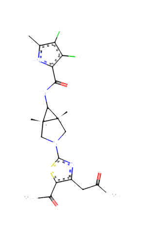 COC(=O)Cc1nc(N2C[C@@H]3C(NC(=O)c4[nH]c(C)c(Cl)c4Cl)[C@@H]3C2)sc1C(=O)OC